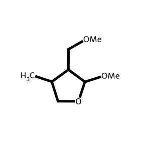 COCC1C(C)COC1OC